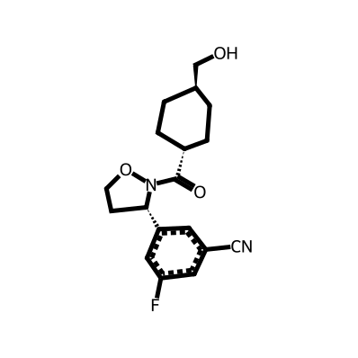 N#Cc1cc(F)cc([C@@H]2CCON2C(=O)[C@H]2CC[C@H](CO)CC2)c1